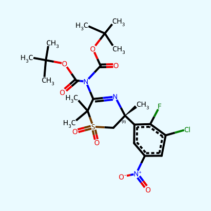 CC(C)(C)OC(=O)N(C(=O)OC(C)(C)C)C1=N[C@](C)(c2cc([N+](=O)[O-])cc(Cl)c2F)CS(=O)(=O)C1(C)C